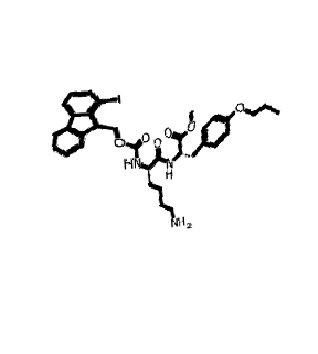 CCCOc1ccc(C[C@H](NC(=O)[C@@H](CCCCN)NC(=O)OCC2C3=C(CCC=C3)c3cccc(I)c32)C(=O)OC)cc1